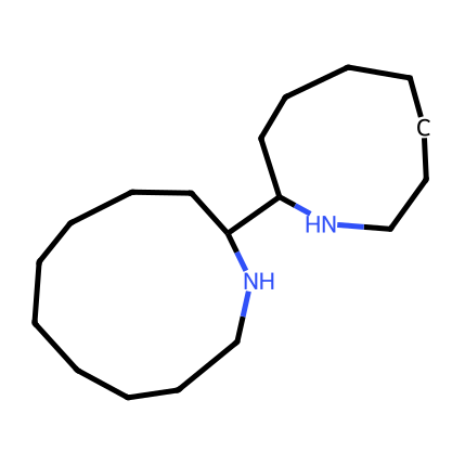 C1CCCCNC(C2CCCCCCCN2)CCCC1